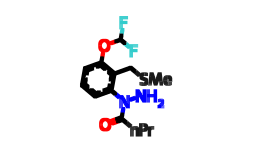 CCCC(=O)N(N)c1cccc(OC(F)F)c1CSC